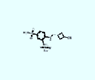 N#C[C@H]1C[C@H](CNc2ccc(S(N)(=O)=O)cc2[N+](=O)[O-])C1.[N-]=[N+]=[N-].[Na+]